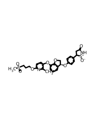 Cc1nc(OCCCS(C)(=O)=O)ccc1Oc1cccc2c1OC[C@H]2Oc1ccc(C2CC(=O)N[S+]2[O-])cc1